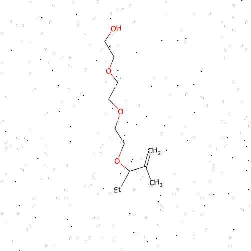 C=C(C)C(CC)OCCOCCOCCO